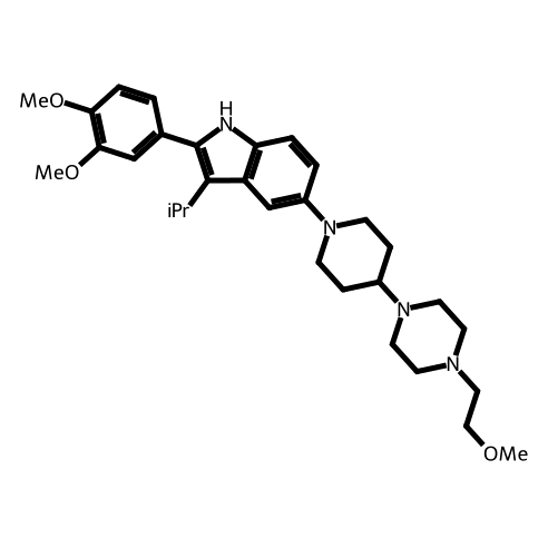 COCCN1CCN(C2CCN(c3ccc4[nH]c(-c5ccc(OC)c(OC)c5)c(C(C)C)c4c3)CC2)CC1